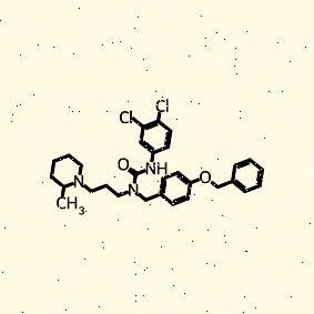 CC1CCCCN1CCCN(Cc1ccc(OCc2ccccc2)cc1)C(=O)Nc1ccc(Cl)c(Cl)c1